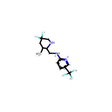 CC1CC(F)(F)CNC1CNc1ccc(C(F)(F)F)cn1